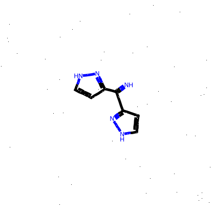 N=C(c1cc[nH]n1)c1cc[nH]n1